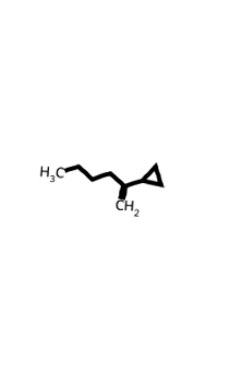 C=C(CCCC)C1CC1